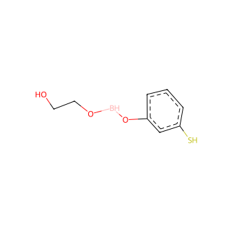 OCCOBOc1cccc(S)c1